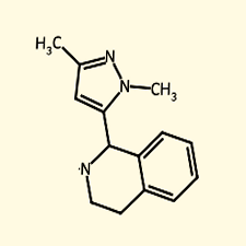 Cc1cc(C2[N]CCc3ccccc32)n(C)n1